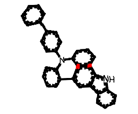 c1ccc(-c2ccc(N(c3ccccc3)c3ccccc3-c3ccc4[nH]c5ccccc5c4c3)cc2)cc1